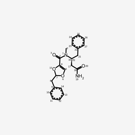 CN(C(=O)C1=COC(Cc2ccccc2)O1)[C@H](CC(N)=O)Cc1ccccc1